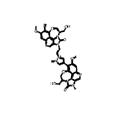 COc1cc2ncc3c4c2c(c1Br)OCC(CO)n4c(=O)n3CC[n+]1cc(-c2c(OC)cc3ncc4c5c3c2OCC(CO)n5c(=O)n4C)cn1C